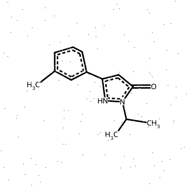 Cc1cccc(-c2cc(=O)n(C(C)C)[nH]2)c1